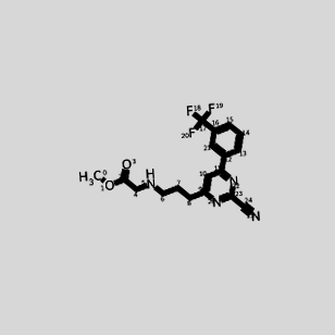 COC(=O)CNCCCc1cc(-c2cccc(C(F)(F)F)c2)nc(C#N)n1